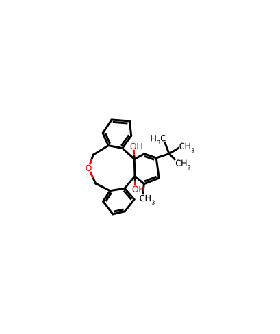 CC1=CC(C(C)(C)C)=CC2(O)c3ccccc3COCc3ccccc3C12O